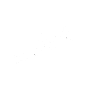 Cn1cc(C(=O)c2cccc3c2c2ccccc2n3C2CCN(Cc3ccc4c(c3)OCO4)CC2)c2ccccc21